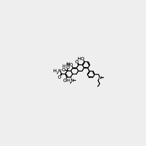 CCCN(C)Cc1cccc(-c2ccc(O)c3c2CC2CC4C(C(O)=C2C3=O)C(O)(O)C(C(N)=O)=C(O)[C@H]4N(C)C)c1